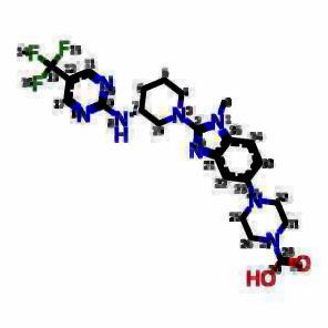 Cn1c(N2CCC[C@@H](Nc3ncc(C(F)(F)F)cn3)C2)nc2cc(N3CCN(C(=O)O)CC3)ccc21